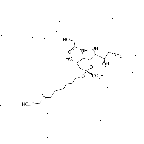 C#CCOCCCCCCO[C@]1(C(=O)O)C[C@H](O)[C@@H](NC(=O)CO)[C@H]([C@H](O)[C@H](O)CN)O1